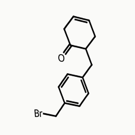 O=C1CC=CCC1Cc1ccc(CBr)cc1